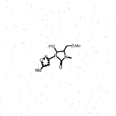 COCC1C(O)N(c2cc(C(C)(C)C)on2)C(=O)N1C